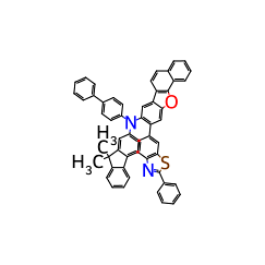 CC1(C)c2ccccc2-c2ccc(N(c3ccc(-c4ccccc4)cc3)c3cc4c(cc3-c3ccc5nc(-c6ccccc6)sc5c3)oc3c5ccccc5ccc43)cc21